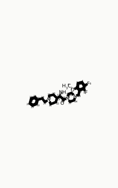 COc1ccc(F)c(F)c1CN1CCN(C(=O)[C@H](N)C2CCN(CCc3ccccc3)CC2)CC1